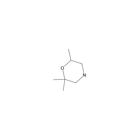 CC1C[N]CC(C)(C)O1